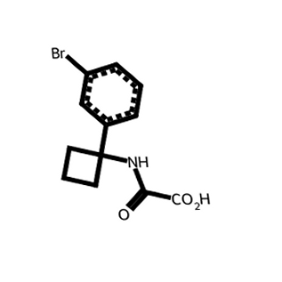 O=C(O)C(=O)NC1(c2cccc(Br)c2)CCC1